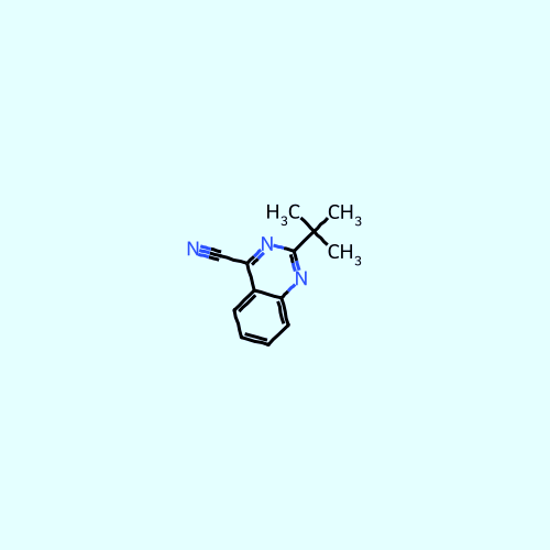 CC(C)(C)c1nc(C#N)c2ccccc2n1